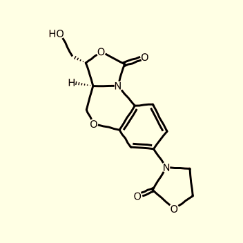 O=C1OCCN1c1ccc2c(c1)OC[C@H]1[C@H](CO)OC(=O)N21